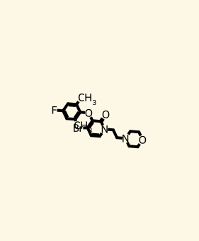 Cc1cc(F)cc(C)c1Oc1c(Br)ccn(CCN2CCOCC2)c1=O